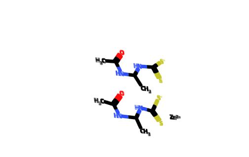 CC(=O)NC(C)NC(=S)[S-].CC(=O)NC(C)NC(=S)[S-].[Zn+2]